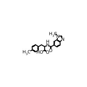 Cc1ccc(CC(NC(=O)c2ccc3ncn(C)c3c2)C(=O)O)cc1